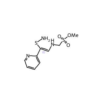 COS(=O)(=O)CN/C=C(\SN)c1ccccn1